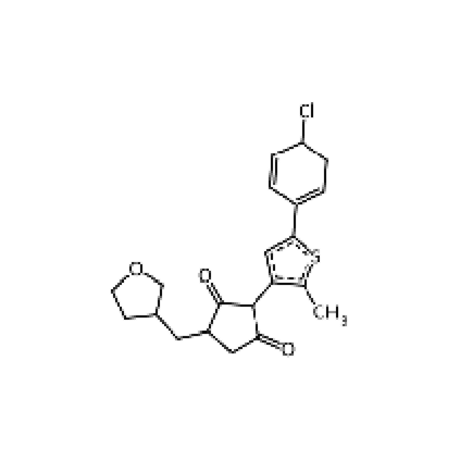 Cc1sc(C2=CCC(Cl)C=C2)cc1C1C(=O)CC(CC2CCOC2)C1=O